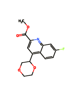 COC(=O)c1cc(C2COCCO2)c2ccc(F)cc2n1